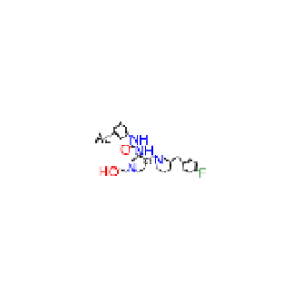 CC(=O)c1cccc(NC(=O)N[C@H]2CN(CCO)CC[C@H]2CN2CCCC(Cc3ccc(F)cc3)C2)c1